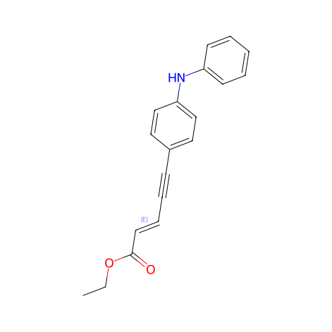 CCOC(=O)/C=C/C#Cc1ccc(Nc2ccccc2)cc1